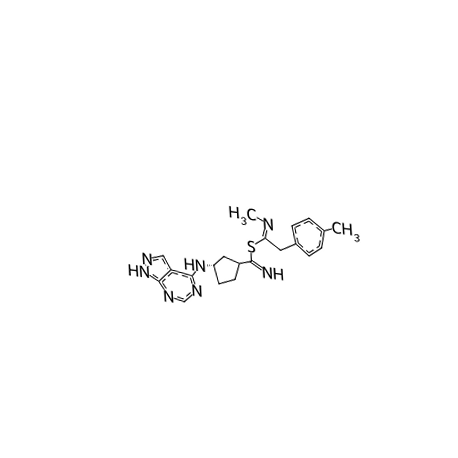 C/N=C(/Cc1ccc(C)cc1)SC(=N)C1CC[C@H](Nc2ncnc3[nH]ncc23)C1